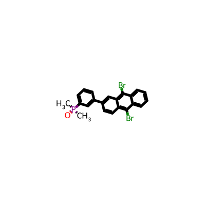 CP(C)(=O)c1cccc(-c2ccc3c(Br)c4ccccc4c(Br)c3c2)c1